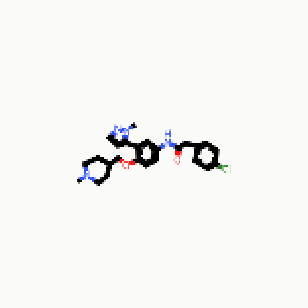 CN1CCC(COc2ccc(NC(=O)Cc3ccc(Cl)cc3)cc2-c2ccnn2C)CC1